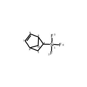 F[Si](F)(F)C1CC2C=CC1C2